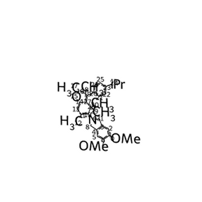 COc1cc2c(cc1OC)CN(C1=C(C)C=C3OC(C)(C)C(c4ccc(C(C)C)cc4)=C3C1(C)C)C2